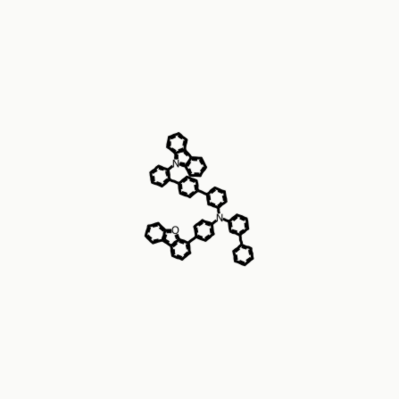 c1ccc(-c2cccc(N(c3ccc(-c4cccc5c4oc4ccccc45)cc3)c3cccc(-c4ccc(-c5ccccc5-n5c6ccccc6c6ccccc65)cc4)c3)c2)cc1